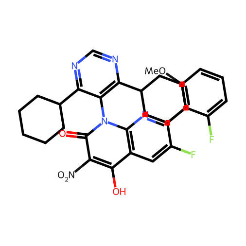 COc1cccc(F)c1-c1nc2c(cc1F)c(O)c([N+](=O)[O-])c(=O)n2-c1c(C2CCCCC2)ncnc1C1CCCCC1